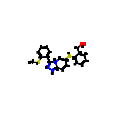 CCCSc1ccccc1-c1nnc2ccc(Sc3ccccc3CO)cn12